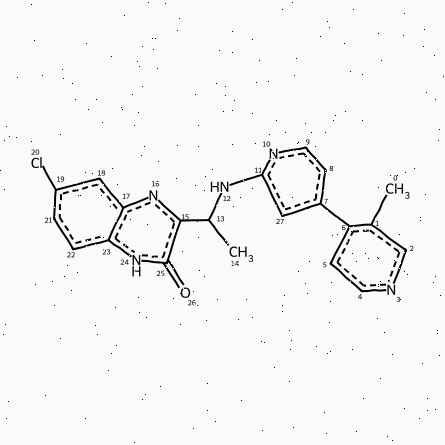 Cc1cnccc1-c1ccnc(NC(C)c2nc3cc(Cl)ccc3[nH]c2=O)c1